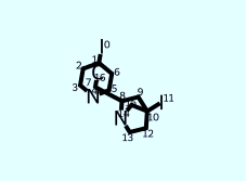 IC12CCN(CC1)C(C1CC3(I)CCN1C3)C2